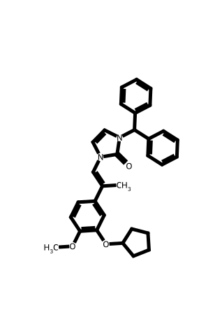 COc1ccc(C(C)=Cn2ccn(C(c3ccccc3)c3ccccc3)c2=O)cc1OC1CCCC1